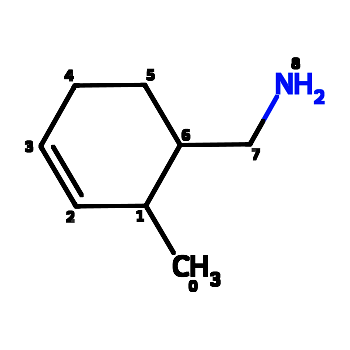 CC1C=CCCC1CN